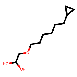 OC(O)COCCCCCCC1CC1